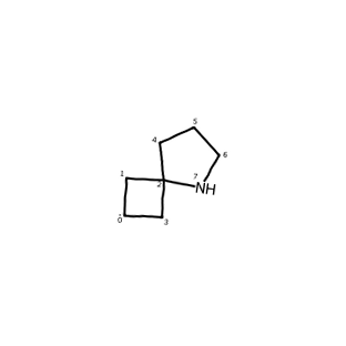 [CH]1CC2(C1)CCCN2